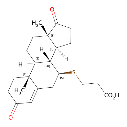 C[C@]12CCC(=O)C=C1C[C@H](SCCC(=O)O)[C@@H]1[C@@H]2CC[C@]2(C)C(=O)CC[C@@H]12